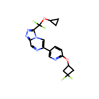 FC1(F)CC(Oc2ccc(-c3cn4c(C(F)(F)OC5CC5)nnc4cn3)cn2)C1